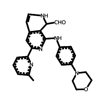 Cc1cccc(-c2cc3c(c(Nc4ccc(N5CCOCC5)cc4)n2)C(C=O)NC=C3)n1